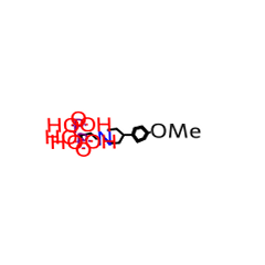 COc1ccc(C2CCN(CCC(O)(P(=O)(O)O)P(=O)(O)O)CC2)cc1